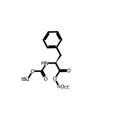 CCCCCCCCOC(=O)[C@H](Cc1ccccc1)NC(=O)OC(C)(C)C